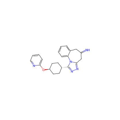 N=C1Cc2ccccc2-n2c(nnc2[C@H]2CC[C@H](Oc3ccccn3)CC2)C1